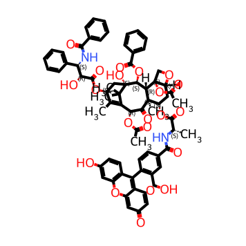 CC(=O)O[C@H]1C(=O)[C@]2(C)[C@@H](OC(=O)[C@H](C)NC(=O)c3ccc(-c4c5ccc(=O)cc-5oc5cc(O)ccc45)c(C(=O)O)c3)C[C@H]3OC[C@@]3(OC(C)=O)[C@H]2[C@H](OC(=O)c2ccccc2)[C@]2(O)C[C@H](OC(=O)[C@H](O)[C@@H](NC(=O)c3ccccc3)c3ccccc3)C(C)=C1C2(C)C